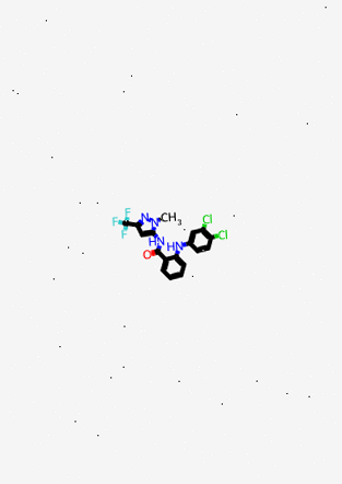 Cn1nc(C(F)(F)F)cc1NC(=O)c1ccccc1Nc1ccc(Cl)c(Cl)c1